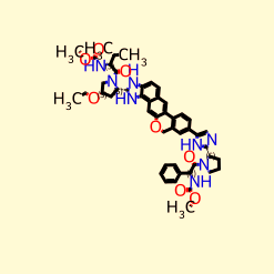 CCO[C@H]1C[C@@H](C2Nc3ccc4cc5c(cc4c3N2)OCc2cc(-c3cnc([C@@H]4CCCN4C(=O)[C@H](NC(=O)OC)c4ccccc4)[nH]3)ccc2-5)N(C(=O)[C@@H](NC(=O)OC)C(C)C)C1